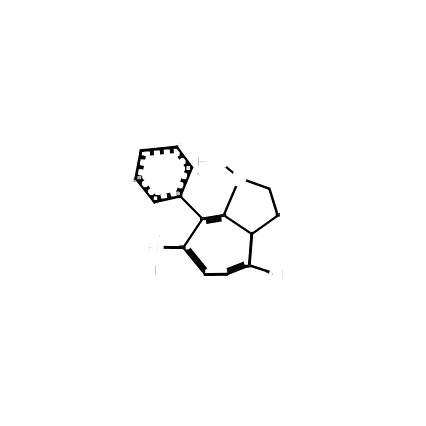 CC1=CC=C(C(C)C)C(c2ccccc2)=C2[C-](C)CCC12.[Li+]